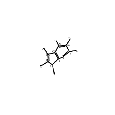 CC1=C(C)[C@H](C)c2cc(C)c(C)c(C)c21